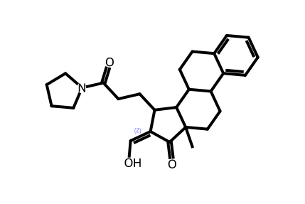 CC12CCC3c4ccccc4CCC3C1C(CCC(=O)N1CCCC1)/C(=C/O)C2=O